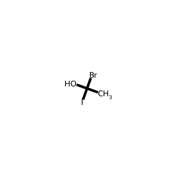 CC(O)(Br)I